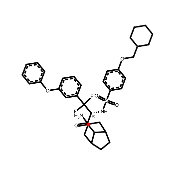 NC1CC2CCC(C1)C2C(=O)[C@@H](NS(=O)(=O)c1ccc(OCC2CCCCC2)cc1)C(F)(F)c1cccc(Oc2ccccc2)c1